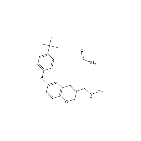 CC(C)(C)c1ccc(Oc2ccc3c(c2)C=C(CNO)CO3)cc1.NC=O